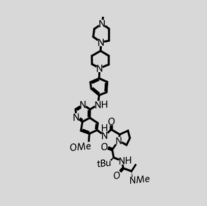 CN[C@@H](C)C(=O)N[C@H](C(=O)N1CCCC1C(=O)Nc1cc2c(Nc3ccc(N4CCC(N5CCN(C)CC5)CC4)cc3)ncnc2cc1OC)C(C)(C)C